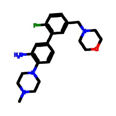 CN1CCN(c2ccc(-c3cc(CN4CCOCC4)ccc3F)cc2N)CC1